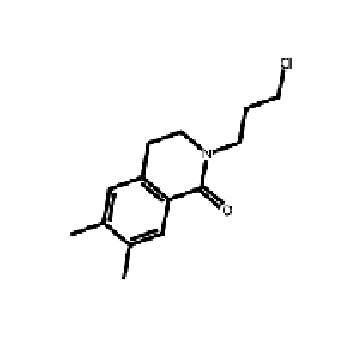 Cc1cc2c(cc1C)C(=O)N(CCCCl)CC2